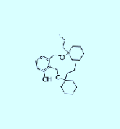 CCCC1(OCc2cccc(O)c2COC2(CCC)CCCCC2)CCCCC1